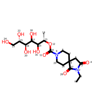 CCN1C(=O)CC2(CCN(C(=O)O[C@@H](C)C(O)C(O)[C@@H](O)[C@@H](O)CO)CC2)C1=O